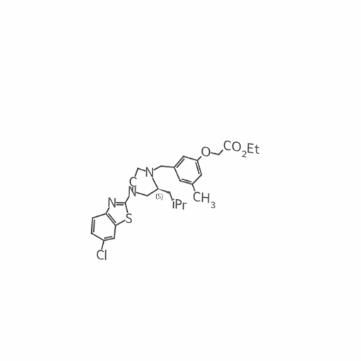 CCOC(=O)COc1cc(C)cc(CN2CCN(c3nc4ccc(Cl)cc4s3)C[C@@H]2CC(C)C)c1